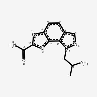 CC(N)Cn1ncc2ccc3oc(C(N)=O)nc3c21